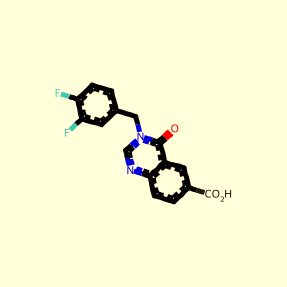 O=C(O)c1ccc2ncn(Cc3ccc(F)c(F)c3)c(=O)c2c1